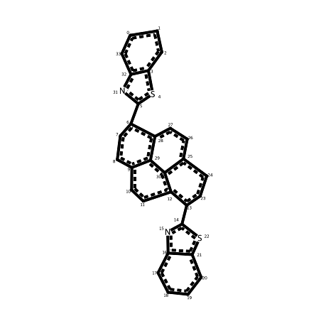 c1ccc2sc(-c3ccc4ccc5c(-c6nc7ccccc7s6)ccc6ccc3c4c65)nc2c1